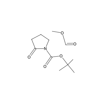 CC(C)(C)OC(=O)N1CCCC1=O.COC=O